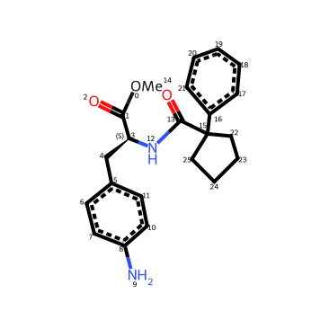 COC(=O)[C@H](Cc1ccc(N)cc1)NC(=O)C1(c2ccccc2)CCCC1